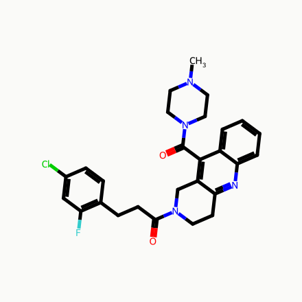 CN1CCN(C(=O)c2c3c(nc4ccccc24)CCN(C(=O)CCc2ccc(Cl)cc2F)C3)CC1